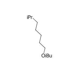 CC(C)CCCCCOCC(C)C